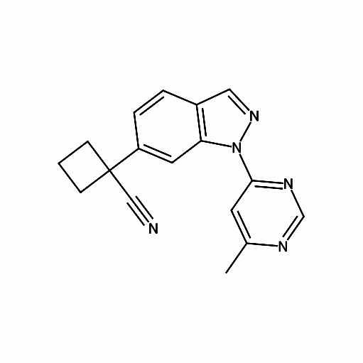 Cc1cc(-n2ncc3ccc(C4(C#N)CCC4)cc32)ncn1